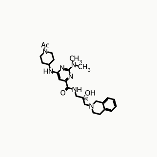 CC(=O)N1CCC(Nc2cc(C(=O)NC[C@H](O)CN3CCc4ccccc4C3)nc(N(C)C)n2)CC1